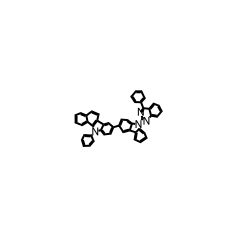 c1ccc(-c2nc(-n3c4ccccc4c4cc(-c5ccc6c(c5)c5ccc7ccccc7c5n6-c5ccccc5)ccc43)nc3ccccc23)cc1